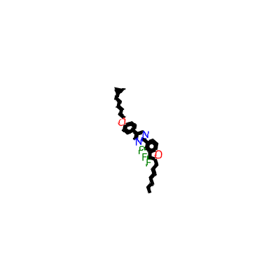 CCCCCCCC1Oc2ccc(-c3ncc(-c4ccc(OCCCCCCC5CC5)cc4)cn3)c(F)c2C1(F)F